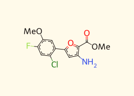 COC(=O)c1oc(-c2cc(OC)c(F)cc2Cl)cc1N